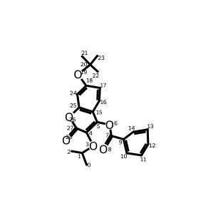 CC(C)Oc1c(OC(=O)c2ccccc2)c2ccc(OC(C)(C)C)cc2oc1=O